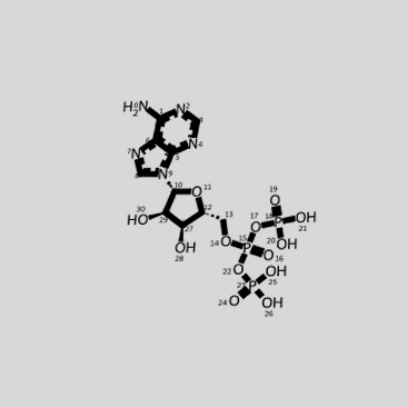 Nc1ncnc2c1ncn2[C@@H]1O[C@H](COP(=O)(OP(=O)(O)O)OP(=O)(O)O)[C@@H](O)[C@H]1O